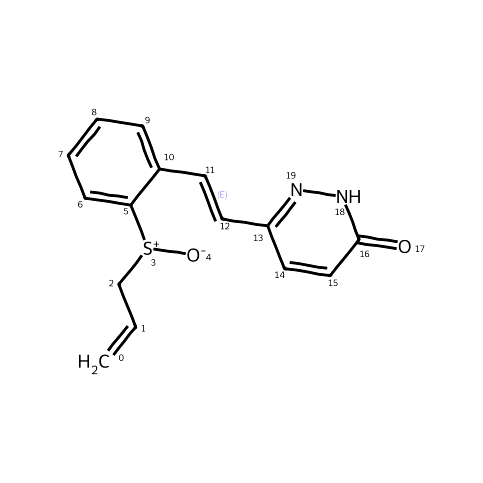 C=CC[S+]([O-])c1ccccc1/C=C/c1ccc(=O)[nH]n1